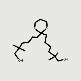 CC(C)(CO)CCCCC1(CCCCC(C)(C)CO)SCCCS1